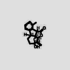 C=C1[C@@H]2OC(=O)[C@H]3c4c(C)cccc4[C@H]4CC[C@]1(O)C[C@]423